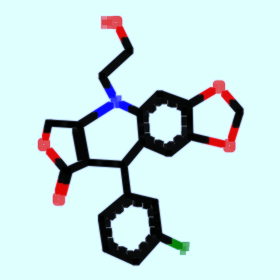 O=C1OCC2=C1C(c1cccc(F)c1)c1cc3c(cc1N2CCO)OCO3